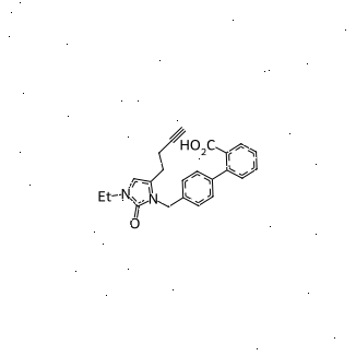 C#CCCc1cn(CC)c(=O)n1Cc1ccc(-c2ccccc2C(=O)O)cc1